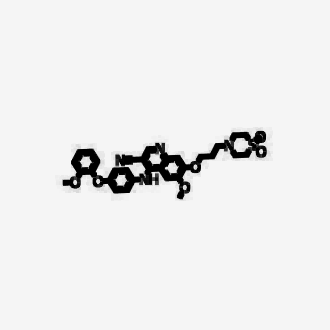 COc1cc2c(Nc3ccc(Oc4ccccc4OC)cc3)c(C#N)cnc2cc1OCCCN1CCS(=O)(=O)CC1